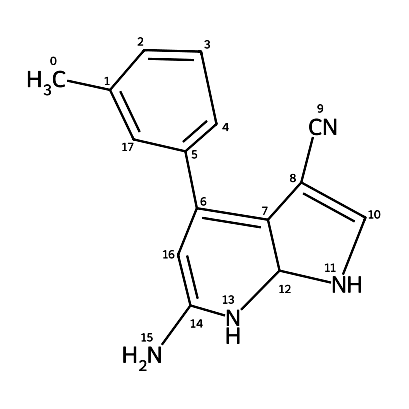 Cc1cccc(C2=C3C(C#N)=CNC3NC(N)=C2)c1